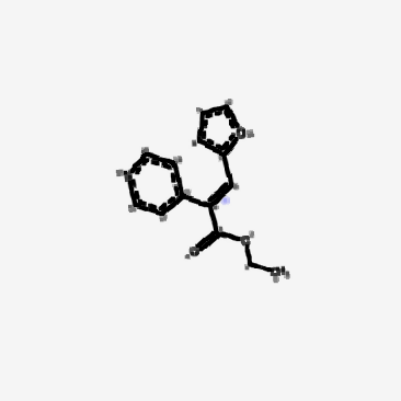 CCOC(=O)/C(=C/c1ccco1)c1ccncc1